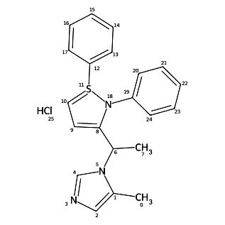 Cc1cncn1C(C)C1=CC=S(c2ccccc2)N1c1ccccc1.Cl